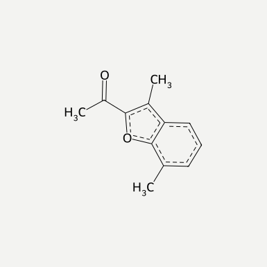 CC(=O)c1oc2c(C)cccc2c1C